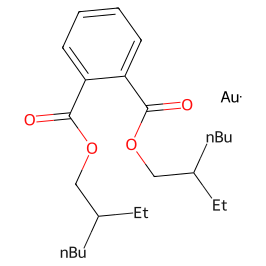 CCCCC(CC)COC(=O)c1ccccc1C(=O)OCC(CC)CCCC.[Au]